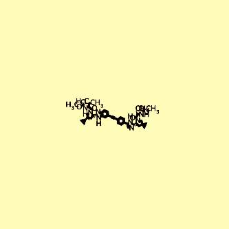 CC[C@H](NC(=O)OC)C(=O)N1CC2(CC2)C[C@H]1c1ncc(-c2ccc(C#Cc3ccc4nc([C@@H]5C[C@H](C6CC6)CN5C(=O)[C@@H](NC(=O)OC)C(C)C)[nH]c4c3)cc2)[nH]1